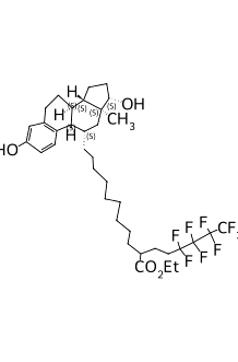 CCOC(=O)C(CCCCCCCCC[C@H]1C[C@]2(C)[C@@H](O)CC[C@H]2[C@@H]2CCc3cc(O)ccc3[C@@H]12)CCC(F)(F)C(F)(F)C(F)(F)C(F)(F)F